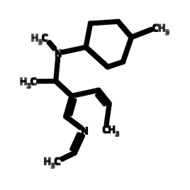 C\C=C/C(=C\N=C/C)C(C)N(C)C1CCC(C)CC1